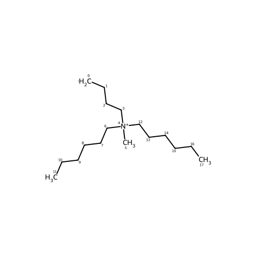 [CH2]CCC[N+](C)(CCCCCC)CCCCCC